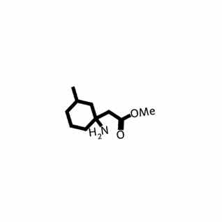 COC(=O)CC1(N)CCCC(C)C1